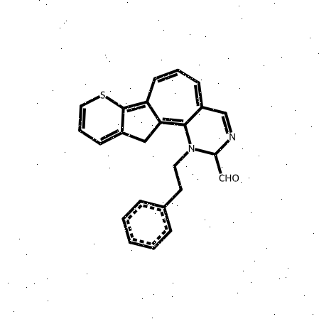 O=CC1N=CC2=CC=CC3=C4SC=CC=C4CC3=C2N1CCc1ccccc1